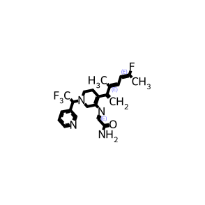 C=C(C1=C(/N=C/C(N)=O)CN(C(c2cccnc2)C(F)(F)F)CC1)/C(C)=C/C=C(\C)F